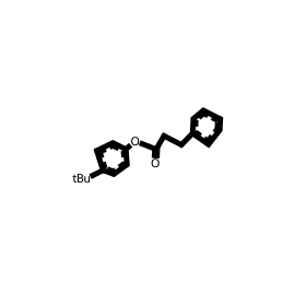 CC(C)(C)c1ccc(OC(=O)CCc2ccccc2)cc1